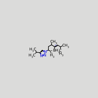 B/C(=C\C(C)C)C(C)CC(C)n1cc(C(C)C)nn1